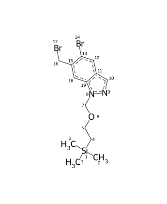 C[Si](C)(C)CCOCn1ncc2cc(Br)c(CBr)cc21